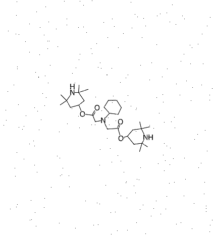 CC1(C)CC(OC(=O)CN(CC(=O)OC2CC(C)(C)NC(C)(C)C2)C2CCCCC2)CC(C)(C)N1